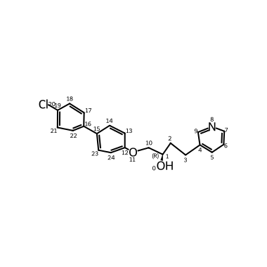 O[C@H](CCc1cccnc1)COc1ccc(-c2ccc(Cl)cc2)cc1